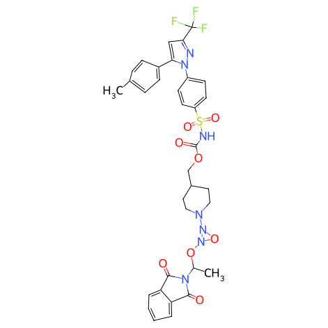 Cc1ccc(-c2cc(C(F)(F)F)nn2-c2ccc(S(=O)(=O)NC(=O)OCC3CCN(n4on4OC(C)N4C(=O)c5ccccc5C4=O)CC3)cc2)cc1